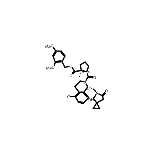 COc1ccc(COC(=O)[C@@]2(C)CCC[C@H]2C(=O)N2CCc3c(Cl)ccc(O)c3[C@H]2CN2CC3(CC3)CC2=O)c(OC)c1